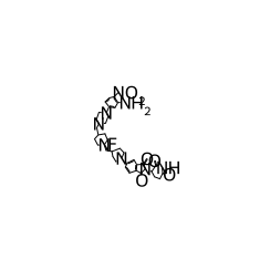 Nc1cc(N2CCN(CC3CCN(CC4(F)CCN(c5ccc6c(c5)C(=O)N(C5CCC(=O)NC5=O)C6=O)CC4)CC3)CC2)ccc1[N+](=O)[O-]